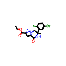 CCOC(=O)c1cc2n(n1)CC(C)(c1cc(Br)ccc1F)NC2=O